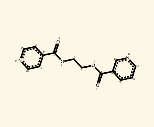 O=C(O[CH]COC(=O)c1cccnc1)c1ccncc1